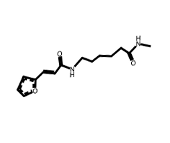 CNC(=O)CCCCCNC(=O)/C=C/c1ccco1